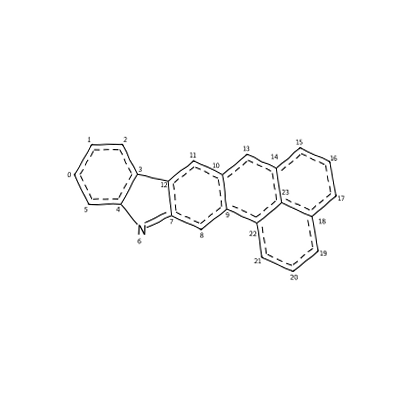 c1ccc2c(c1)N=c1cc3c(cc1-2)cc1cccc2cccc3c21